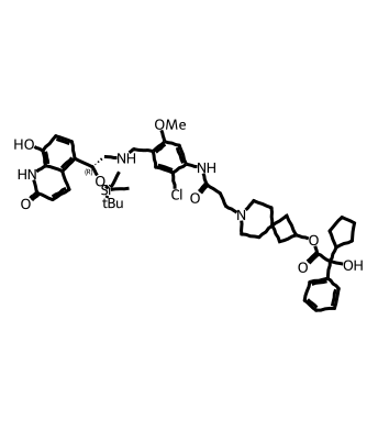 COc1cc(NC(=O)CCN2CCC3(CC2)CC(OC(=O)C(O)(c2ccccc2)C2CCCC2)C3)c(Cl)cc1CNC[C@H](O[Si](C)(C)C(C)(C)C)c1ccc(O)c2[nH]c(=O)ccc12